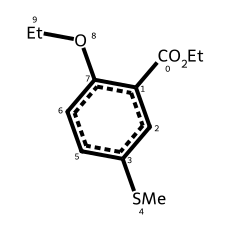 CCOC(=O)c1cc(SC)ccc1OCC